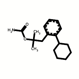 CC(C)(Cc1ccccc1C1CCCCC1)OC(N)=O